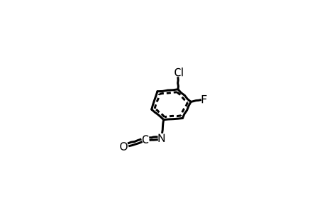 O=C=Nc1ccc(Cl)c(F)c1